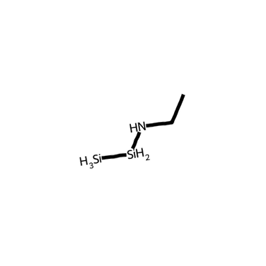 CCN[SiH2][SiH3]